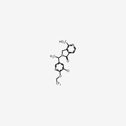 CC(c1cnc(OCC(F)(F)F)c(Cl)c1)N1Cc2c(ccnc2C(=O)O)C1=O